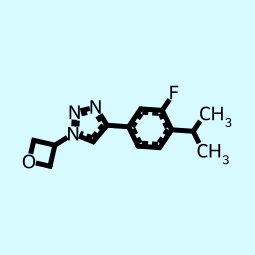 CC(C)c1ccc(-c2cn(C3COC3)nn2)cc1F